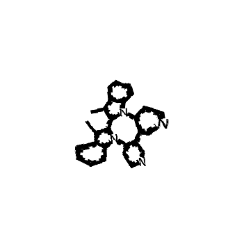 Cc1c2ccccc2n2c3ccncc3c3cnccc3n3c4ccccc4c(C)c3c12